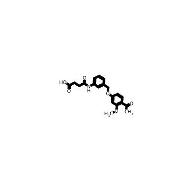 COc1cc(OCc2cccc(NC(=O)CCC(=O)O)c2)ccc1C(C)=O